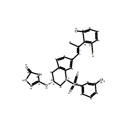 C/C(=C\c1ccc2c(c1)N(S(=O)(=O)c1cccc(C(F)(F)F)c1)C[C@H](Oc1noc(=O)[nH]1)C2)c1c(F)cccc1Cl